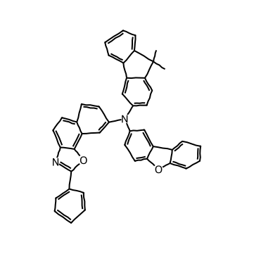 CC1(C)c2ccccc2-c2cc(N(c3ccc4oc5ccccc5c4c3)c3ccc4ccc5nc(-c6ccccc6)oc5c4c3)ccc21